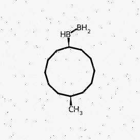 BB[C@H]1CCCCC[C@@H](C)CCCCC1